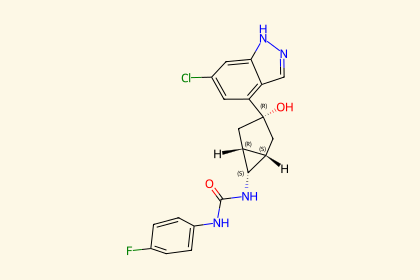 O=C(Nc1ccc(F)cc1)N[C@@H]1[C@@H]2C[C@@](O)(c3cc(Cl)cc4[nH]ncc34)C[C@@H]21